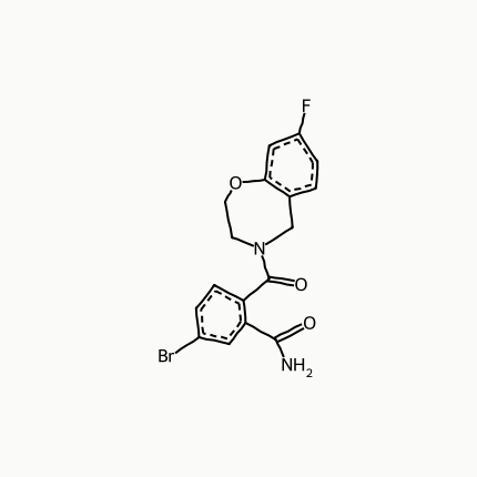 NC(=O)c1cc(Br)ccc1C(=O)N1CCOc2cc(F)ccc2C1